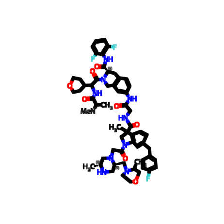 CNC(C)C(=O)NC(C(=O)N1Cc2cc(NC(=O)CNC(=O)C3(C)CN(C(=O)CN4C[C@@H](C)NC[C@@H]4CN4CCOCC4C)c4cc(Cc5ccc(F)cc5)ccc43)ccc2C[C@H]1C(=O)Nc1c(F)cccc1F)C1CCOCC1